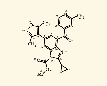 Cc1cc(C(=O)c2cc(-c3c(C)noc3C)cc3c2nc(C2CC2)n3C(=O)OC(C)(C)C)ccn1